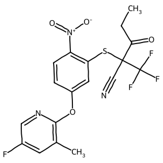 CCC(=O)C(C#N)(Sc1cc(Oc2ncc(F)cc2C)ccc1[N+](=O)[O-])C(F)(F)F